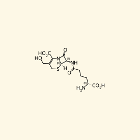 N[C@H](CCCC(=O)N[C@@H]1C(=O)N2C(C(=O)O)=C(CO)CS[C@H]12)C(=O)O